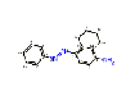 Nc1ccc(N=Nc2ccccc2)c2c1CCCC2